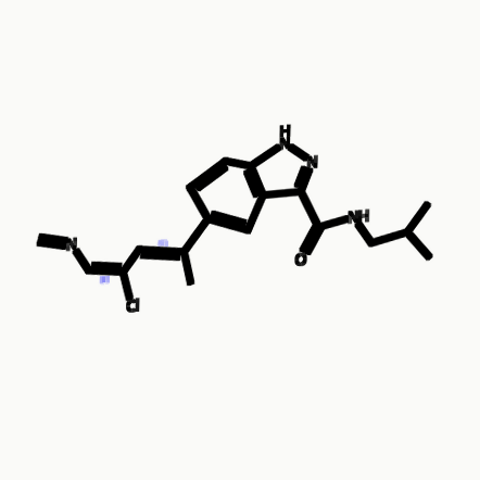 C=N/C=C(Cl)\C=C(/C)c1ccc2[nH]nc(C(=O)NCC(C)C)c2c1